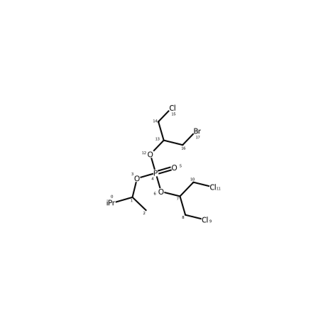 CC(C)C(C)OP(=O)(OC(CCl)CCl)OC(CCl)CBr